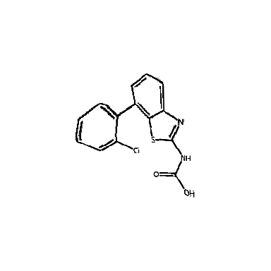 O=C(O)Nc1nc2cccc(-c3ccccc3Cl)c2s1